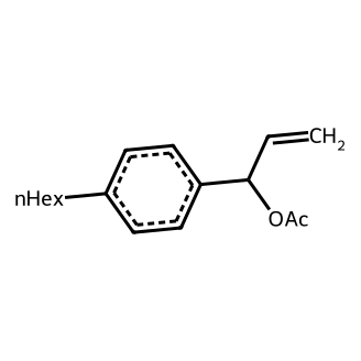 C=CC(OC(C)=O)c1ccc(CCCCCC)cc1